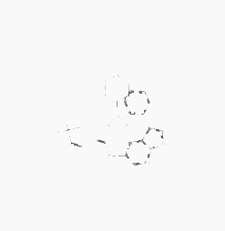 O=C(O)C(F)(F)F.O=C1Nc2cnc3[nH]cc(-c4ccccc4)c3c2C12CN(C1CCNCC1)C2